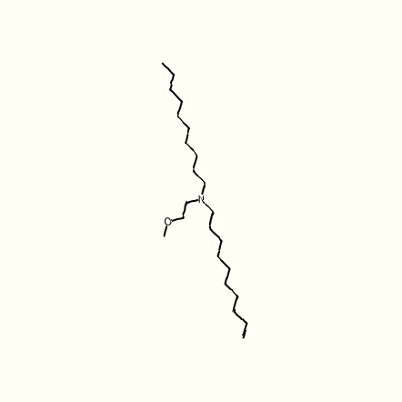 CCCCCCCCCCN(CCCCCCCCCC)CCOC